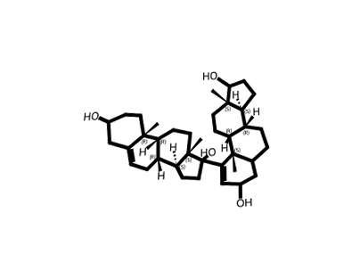 C[C@]12CCC(O)CC1=CC[C@@H]1[C@H]2CC[C@@]2(C)[C@H]1CCC2(O)C1=CC(O)CC2CC[C@@H]3[C@@H](CC[C@]4(C)C(O)CC[C@@H]34)[C@@]12C